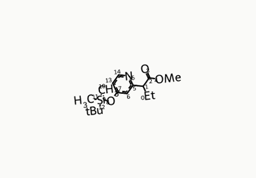 CCC(C(=O)OC)c1cc(O[Si](C)(C)C(C)(C)C)ccn1